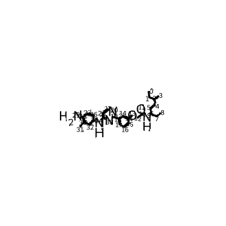 CCC(C)CCC(CC)NC(=O)COc1cccc(-c2nccc(Nc3ccc(N)c(C)c3)n2)c1